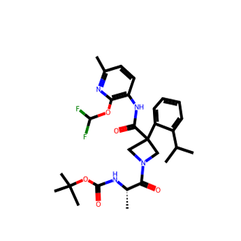 Cc1ccc(NC(=O)C2(c3ccccc3C(C)C)CN(C(=O)[C@H](C)NC(=O)OC(C)(C)C)C2)c(OC(F)F)n1